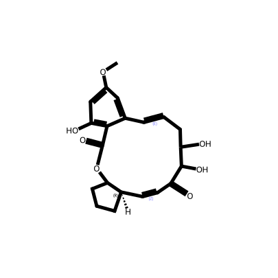 COc1cc(O)c2c(c1)/C=C/CC(O)C(O)C(=O)/C=C\[C@H]1CCCC1OC2=O